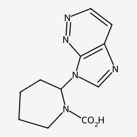 O=C(O)N1CCCCC1n1cnc2ccnnc21